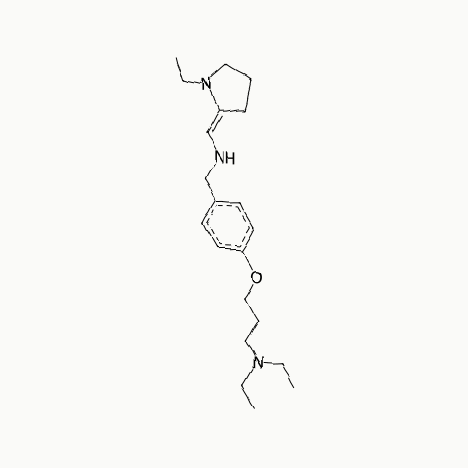 CCN(CC)CCCOc1ccc(CN/C=C2\CCCN2CC)cc1